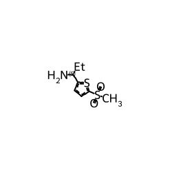 CC[C@H](N)c1ccc(S(C)(=O)=O)s1